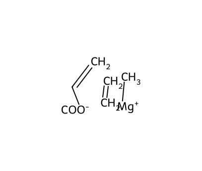 C=C.C=CC(=O)[O-].[CH3][Mg+]